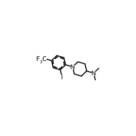 CN(C)C1CCN(c2ccc(C(F)(F)F)cc2I)CC1